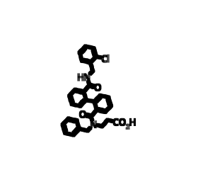 O=C(O)CCN(Cc1ccccc1)C(=O)c1ccccc1-c1ccccc1C(=O)NCc1ccccc1Cl